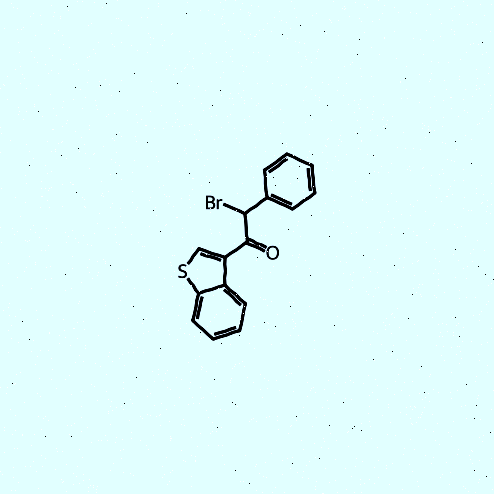 O=C(c1csc2ccccc12)C(Br)c1ccccc1